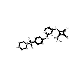 CC(C)(C)Nc1c(Nc2ccnc(Nc3ccc(S(=O)(=O)N4CCOCC4)cc3)n2)c(=O)c1=O